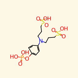 O=P(O)(O)Oc1ccc(N(CCCS(=O)(=O)O)CCCS(=O)(=O)O)cc1